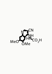 COc1cc2ncc(C#N)c(NNC(=O)O)c2cc1OC